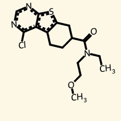 CCN(CCOC)C(=O)C1CCc2c(sc3ncnc(Cl)c23)C1